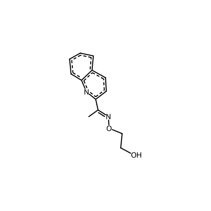 CC(=NOCCO)c1ccc2ccccc2n1